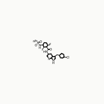 CCCS(=O)(=O)Nc1ccc(F)c(C(=O)Nc2cnc3[nH]cc(Cc4ccc(Cl)cc4)c3c2)c1F